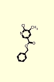 Cc1cc(C(=O)OCc2ccccc2)cnc1Cl